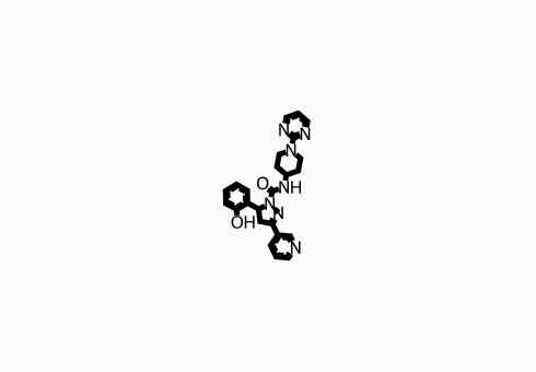 O=C(NC1CCN(c2ncccn2)CC1)N1N=C(c2cccnc2)CC1c1ccccc1O